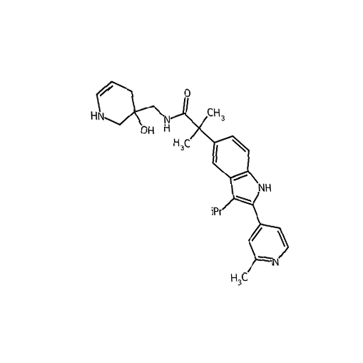 Cc1cc(-c2[nH]c3ccc(C(C)(C)C(=O)NCC4(O)CC=CNC4)cc3c2C(C)C)ccn1